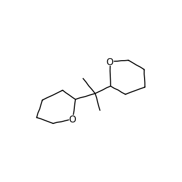 CC(C)(C1CCCCO1)C1CCCCO1